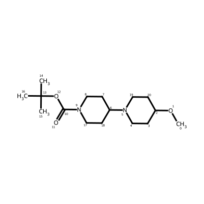 COC1CCN(C2CCN(C(=O)OC(C)(C)C)CC2)CC1